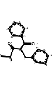 CC(C)C(=O)C(Cc1ccccc1)C(=O)c1ccccc1